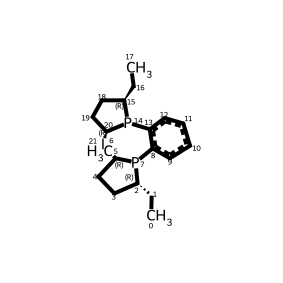 CC[C@@H]1CC[C@@H](C)P1c1ccccc1P1[C@H](CC)CC[C@H]1I